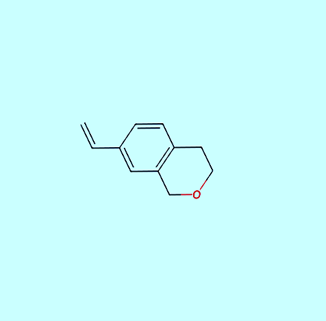 C=Cc1ccc2c(c1)COCC2